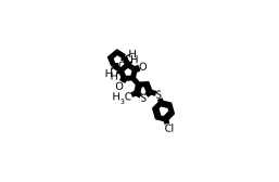 Cc1sc(Sc2ccc(Cl)cc2)cc1C1C(=O)[C@@H]2[C@H](C1=O)[C@H]1CC[C@@H]2O1